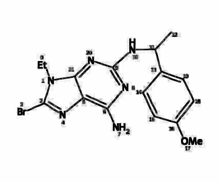 CCn1c(Br)nc2c(N)nc(NC(C)c3ccc(OC)cc3)nc21